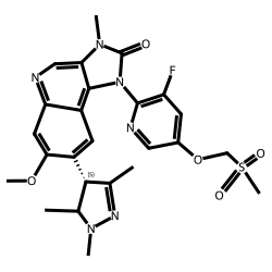 COc1cc2ncc3c(c2cc1[C@@H]1C(C)=NN(C)C1C)n(-c1ncc(OCS(C)(=O)=O)cc1F)c(=O)n3C